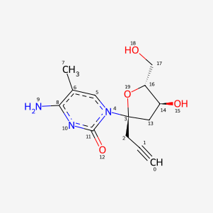 C#CC[C@]1(n2cc(C)c(N)nc2=O)C[C@H](O)[C@@H](CO)O1